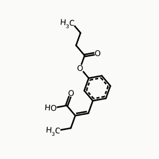 CCCC(=O)Oc1cccc(C=C(CC)C(=O)O)c1